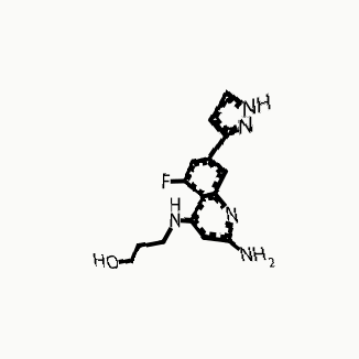 Nc1cc(NCCCO)c2c(F)cc(-c3cc[nH]n3)cc2n1